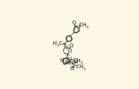 C[C@@H](c1ccc(-c2ccn(C)c(=O)c2)cc1)N1CC[C@](CC(C)(C)NS(C)(=O)=O)(c2ccccc2)OC1=O